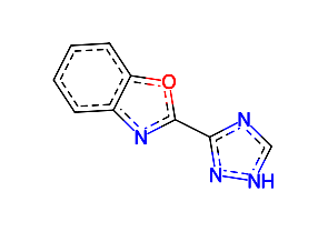 c1ccc2oc(-c3nc[nH]n3)nc2c1